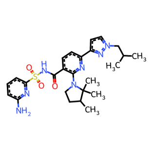 CC(C)Cn1ccc(-c2ccc(C(=O)NS(=O)(=O)c3cccc(N)n3)c(N3CCC(C)C3(C)C)n2)n1